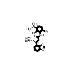 CCCCC[C@H](CC(=O)Nc1c(C(C)C)ccc(N(C)C)c1C(C)C)c1cccc2c1OCO2.Cl